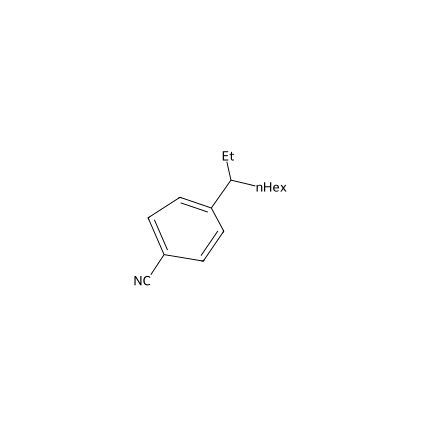 CCCCCCC(CC)c1ccc(C#N)cc1